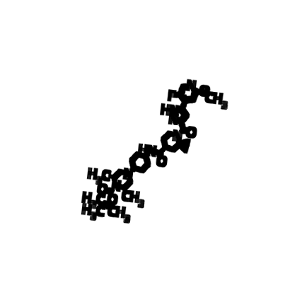 COc1cc(-c2cc(C(=O)N3CC[C@H](C(=O)NC4CCC(N5C[C@@H](C)N(C(=O)OC(C)(C)C)[C@@H](C)C5)CC4)CC34CC4)n[nH]2)c(F)cn1